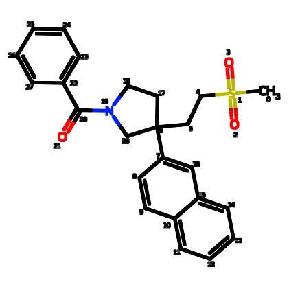 CS(=O)(=O)CCC1(c2ccc3ccccc3c2)CCN(C(=O)c2ccccc2)C1